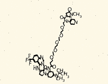 CC(C)N(C)[C@@H]1CC[C@H](N2CC[C@H](Nc3ncnc4ccc(C(F)(F)F)cc34)C2=O)[C@H](NC(=O)CCOCCOCCOCCOCCOCCNC(=O)[C@H]2CC(=O)N(C)[C@@H]2c2cccnc2)C1